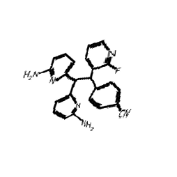 N#Cc1ccc(C(c2cccnc2F)C(c2cccc(N)n2)c2cccc(N)n2)cc1